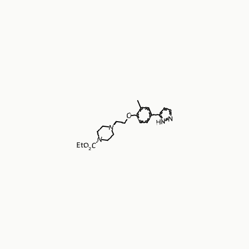 CCOC(=O)N1CCN(CCOc2ccc(-c3ccn[nH]3)cc2C)CC1